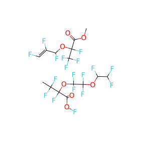 CC(F)(F)C(F)(OC(F)(F)C(F)(F)OC(F)C(F)F)C(=O)OF.COC(=O)C(F)(OC(F)C(F)=CF)C(F)(F)F